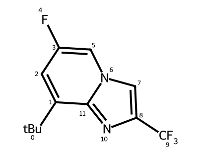 CC(C)(C)c1cc(F)cn2cc(C(F)(F)F)nc12